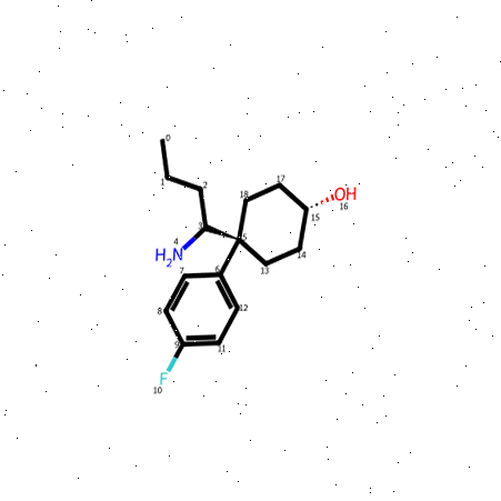 CCCC(N)[C@]1(c2ccc(F)cc2)CC[C@@H](O)CC1